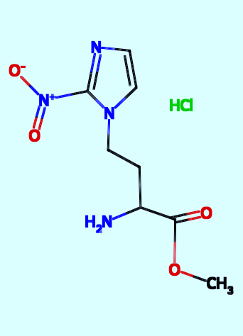 COC(=O)C(N)CCn1ccnc1[N+](=O)[O-].Cl